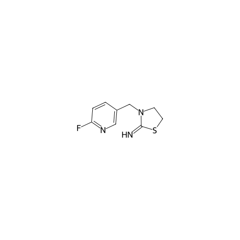 N=C1SCCN1Cc1ccc(F)nc1